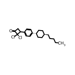 CCCCC[C@H]1CC[C@H](c2ccc(C3CC(=O)C3(Cl)Cl)cc2)CC1